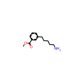 COC(=O)c1cccc(CCCCCN)c1